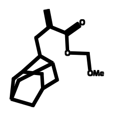 C=C(CC1C2CC3CC(C2)CC1C3)C(=O)OCOC